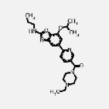 CCCNc1nc2cc(-c3ccc(C(=O)N4CCN(CC)CC4)cn3)cc(OC(C)C)c2o1